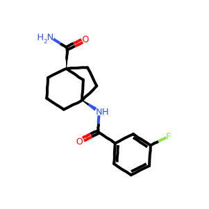 NC(=O)[C@@]12CCC[C@@](NC(=O)c3cccc(F)c3)(CC1)C2